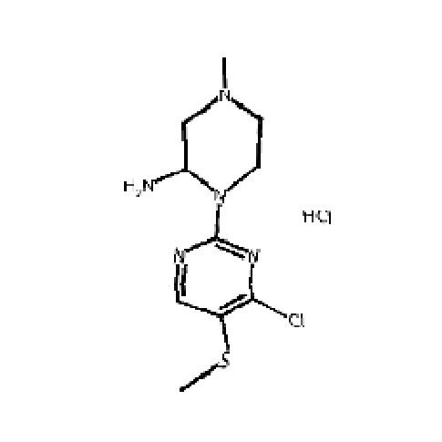 CSc1cnc(N2CCN(C)CC2N)nc1Cl.Cl